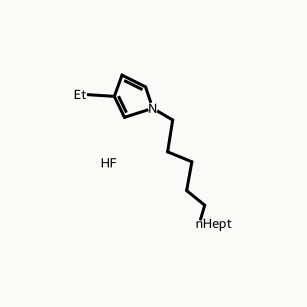 CCCCCCCCCCCCn1ccc(CC)c1.F